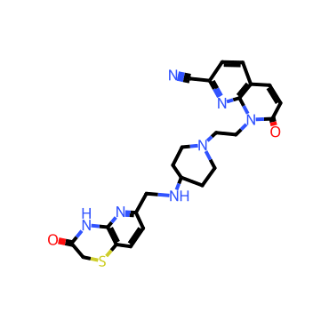 N#Cc1ccc2ccc(=O)n(CCN3CCC(NCc4ccc5c(n4)NC(=O)CS5)CC3)c2n1